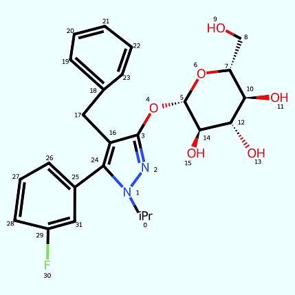 CC(C)n1nc(O[C@@H]2O[C@H](CO)[C@@H](O)[C@H](O)[C@H]2O)c(Cc2ccccc2)c1-c1cccc(F)c1